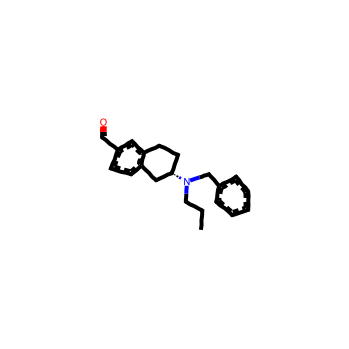 CCCN(Cc1ccccc1)[C@H]1CCc2cc(C=O)ccc2C1